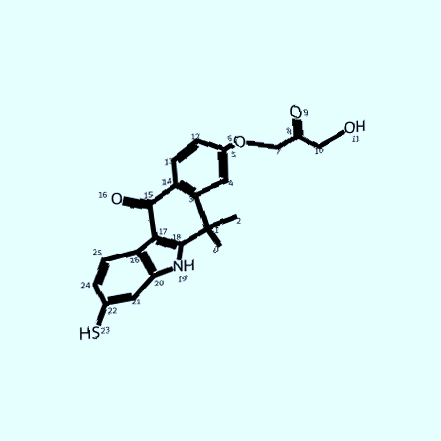 CC1(C)c2cc(OCC(=O)CO)ccc2C(=O)c2c1[nH]c1cc(S)ccc21